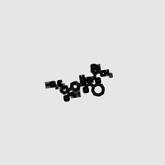 Cc1nocc1C(=O)NC(C(=O)Nc1ccc2c(c1)NC(=O)C21CCN(C(=O)O)C1)C1CCCCCCC1